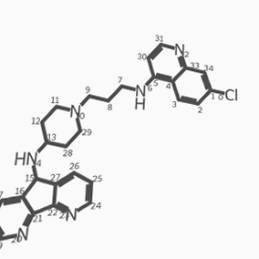 Clc1ccc2c(NCCCN3CCC(NC4c5cccnc5-c5ncccc54)CC3)ccnc2c1